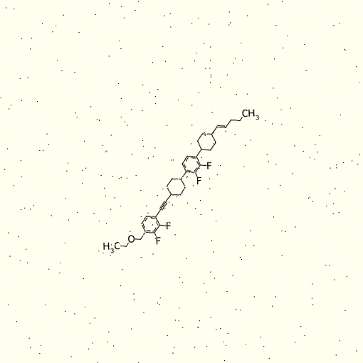 CCC/C=C/C1CCC(c2ccc(C3CCC(C#Cc4ccc(COCC)c(F)c4F)CC3)c(F)c2F)CC1